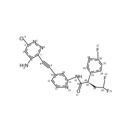 Nc1cc(Cl)nnc1C#Cc1ccnc(NC(=O)[C@H](CC(F)F)c2ccc(F)cc2)c1